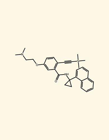 CN(C)CCOc1ccc(C#C[Si](C)(C)C)c(C(=O)NC2(c3cccc4ccccc34)CC2)c1